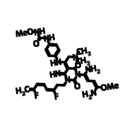 C=C(F)/C=C\C=C(\F)CCN1C(=N)/C(=C(/CN(C)C)Nc2ccc(NC(=O)NOC)cc2)C(=O)N(/C(N)=C/C=C(\N)OC)C1=O